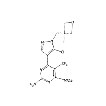 CNc1nc(N)nc(-c2cnn(CC3(C)COC3)c2Cl)c1C(F)(F)F